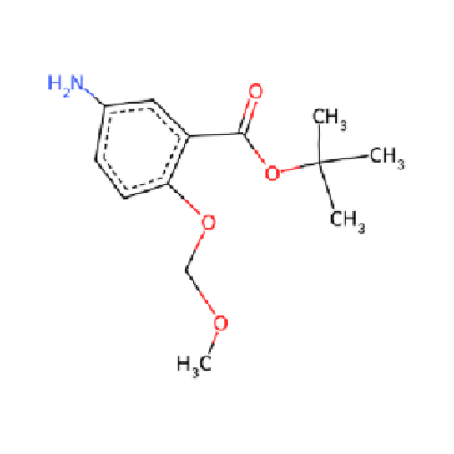 COCOc1ccc(N)cc1C(=O)OC(C)(C)C